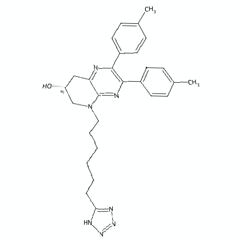 Cc1ccc(-c2nc3c(nc2-c2ccc(C)cc2)N(CCCCCCc2nnn[nH]2)C[C@H](O)C3)cc1